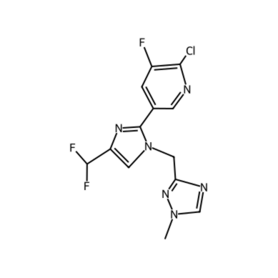 Cn1cnc(Cn2cc(C(F)F)nc2-c2cnc(Cl)c(F)c2)n1